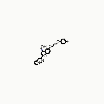 O/N=c1/cc(-c2cc3cccn3cn2)oc2ccc(OCCCOc3ccc(F)cc3)cc12